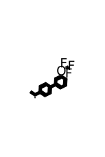 C[CH]c1ccc(-c2cccc(OC(F)(F)F)c2)cc1